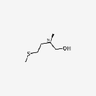 CSCC[C@@H](C)CO